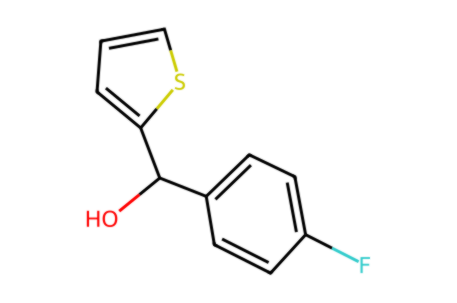 OC(c1ccc(F)cc1)c1cccs1